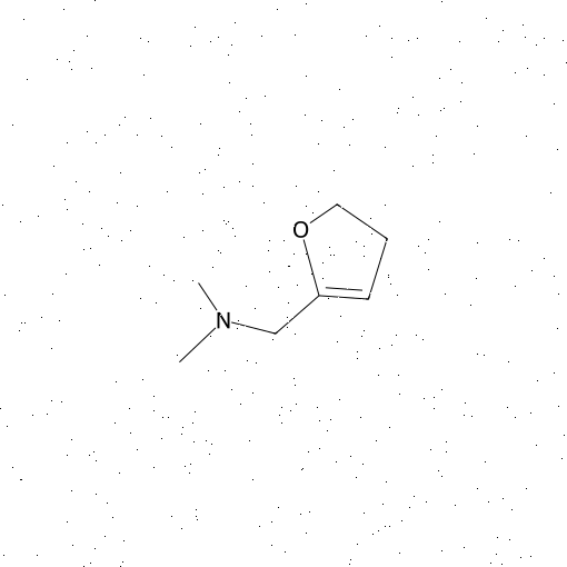 CN(C)CC1=CCCO1